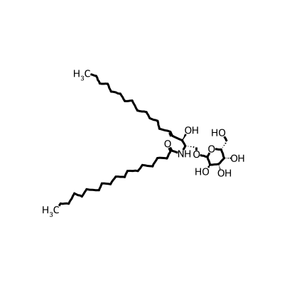 CCCCCCCCCCCCC/C=C/[C@@H](O)[C@H](COC1O[C@H](CO)[C@H](O)[C@H](O)[C@H]1O)NC(=O)CCCCCCCCCCCCCCCCC